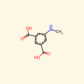 CNc1cc(C(=O)O)cc(C(=O)O)c1